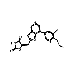 CCOc1ncc(-c2cncc3cc(/C=C4/SC(=O)NC4=O)oc23)cc1C